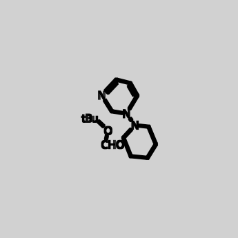 C1=CN(N2CCCCC2)CN=C1.CC(C)(C)OC=O